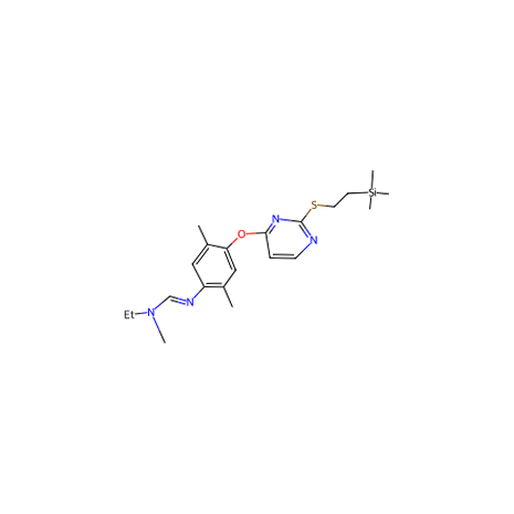 CCN(C)/C=N/c1cc(C)c(Oc2ccnc(SCC[Si](C)(C)C)n2)cc1C